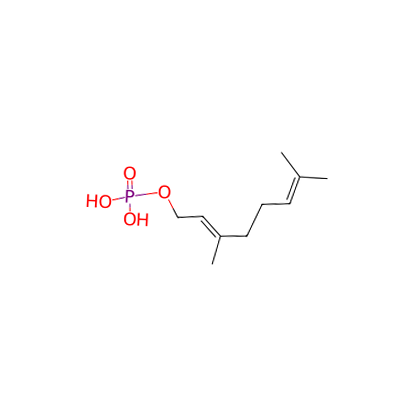 CC(C)=CCCC(C)=CCOP(=O)(O)O